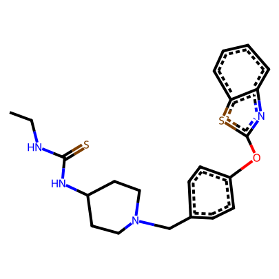 CCNC(=S)NC1CCN(Cc2ccc(Oc3nc4ccccc4s3)cc2)CC1